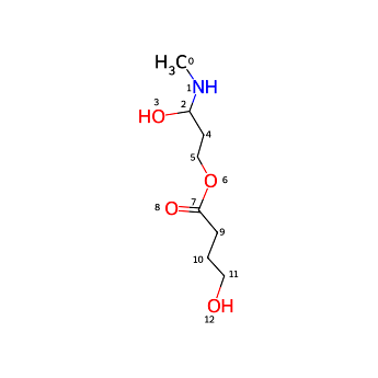 CNC(O)CCOC(=O)CCCO